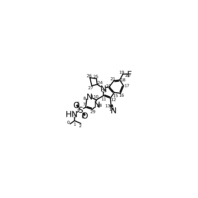 CC(C)NS(=O)(=O)c1cnc(-c2c(C#N)c3ccc(CF)cc3n2C2CCC2)nc1